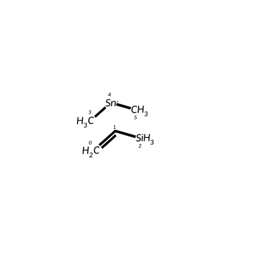 C=C[SiH3].[CH3][Sn][CH3]